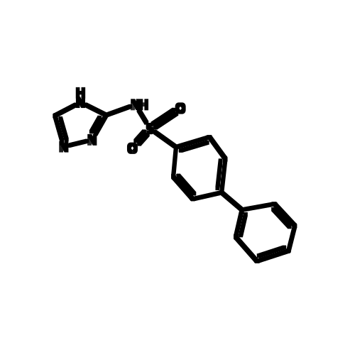 O=S(=O)(Nc1nnc[nH]1)c1ccc(-c2ccccc2)cc1